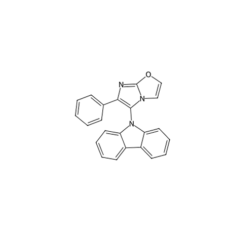 c1ccc(-c2nc3occn3c2-n2c3ccccc3c3ccccc32)cc1